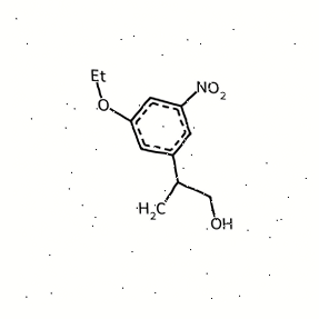 [CH2]C(CO)c1cc(OCC)cc([N+](=O)[O-])c1